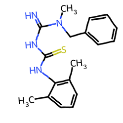 Cc1cccc(C)c1NC(=S)NC(=N)N(C)Cc1ccccc1